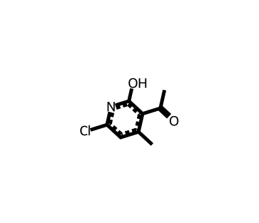 CC(=O)c1c(C)cc(Cl)nc1O